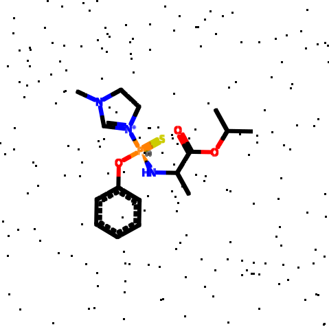 CC(C)OC(=O)C(C)N[P@@](=S)(Oc1ccccc1)[N+]1=CN(C)CC1